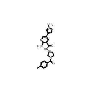 Cn1cc(-c2cnc(N)c(C(=O)N[C@@H]3CCN(C(=O)c4ccc(I)cc4)C3)c2)cn1